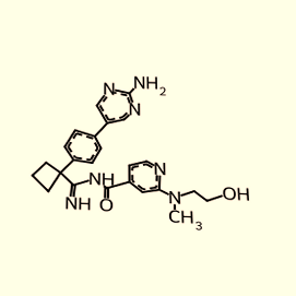 CN(CCO)c1cc(C(=O)NC(=N)C2(c3ccc(-c4cnc(N)nc4)cc3)CCC2)ccn1